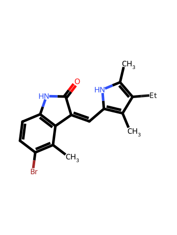 CCc1c(C)[nH]c(C=C2C(=O)Nc3ccc(Br)c(C)c32)c1C